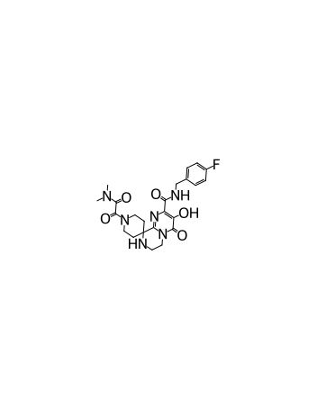 CN(C)C(=O)C(=O)N1CCC2(CC1)NCCn1c2nc(C(=O)NCc2ccc(F)cc2)c(O)c1=O